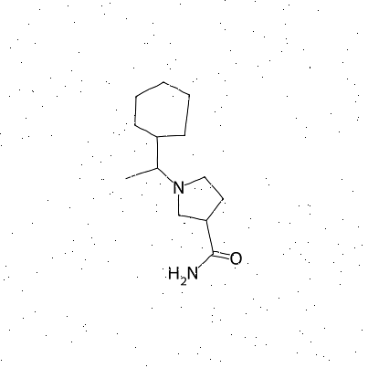 CC(C1CCCCC1)N1CCC(C(N)=O)C1